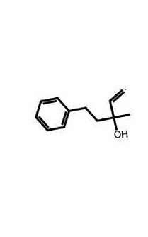 [CH]=CC(C)(O)CCc1ccccc1